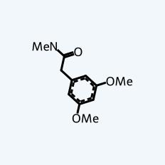 CNC(=O)Cc1cc(OC)cc(OC)c1